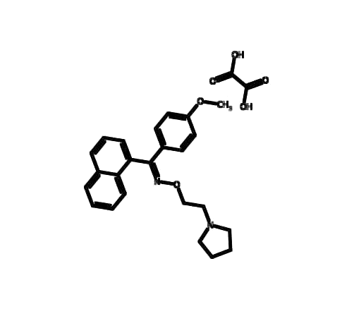 COc1ccc(C(=NOCCN2CCCC2)c2cccc3ccccc23)cc1.O=C(O)C(=O)O